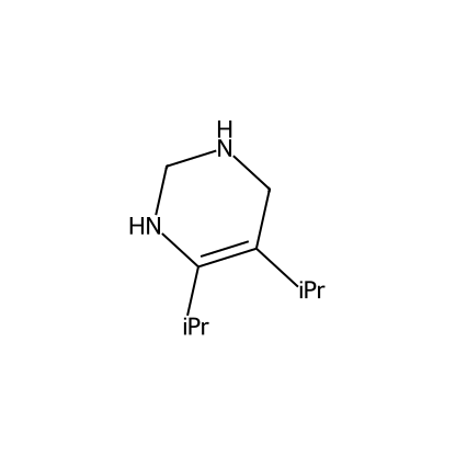 CC(C)C1=C(C(C)C)NCNC1